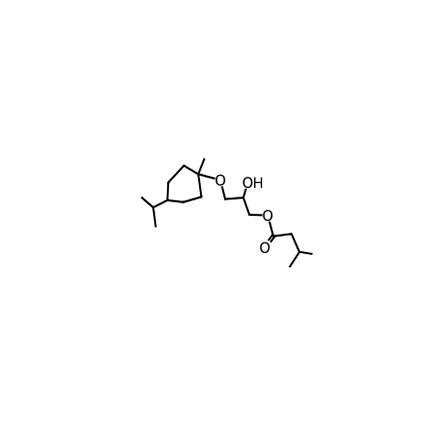 CC(C)CC(=O)OCC(O)COC1(C)CCC(C(C)C)CC1